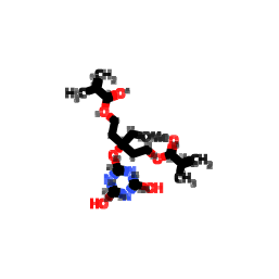 C=C(C)C(=O)OCCC(CCOC(=O)C(=C)C)(COC)Oc1nc(O)nc(O)n1